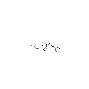 C[C@@H]1OCC2(CCN(c3nc4[nH]nc(C#Cc5ccncc5F)c4c4nccn34)CC2)[C@@H]1N